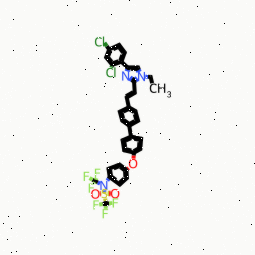 CCn1cc(-c2ccc(Cl)cc2Cl)nc1C=Cc1ccc(-c2ccc(Oc3ccc(N(C(F)(F)F)S(=O)(=O)C(F)(F)F)cc3)cc2)cc1